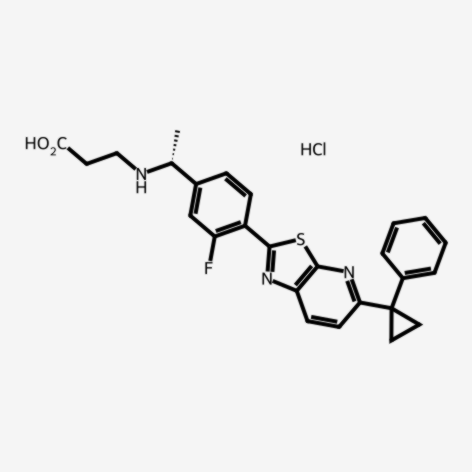 C[C@@H](NCCC(=O)O)c1ccc(-c2nc3ccc(C4(c5ccccc5)CC4)nc3s2)c(F)c1.Cl